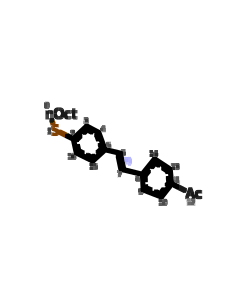 CCCCCCCCSc1ccc(/C=C/c2ccc(C(C)=O)cc2)cc1